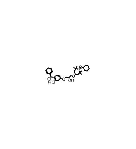 CC1(C)CC(OCC(O)COc2ccc(C(=O)c3ccccc3)c(O)c2)CC(C)(C)N1OC1CCCCC1